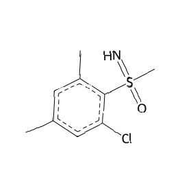 Cc1cc(C)c(S(C)(=N)=O)c(Cl)c1